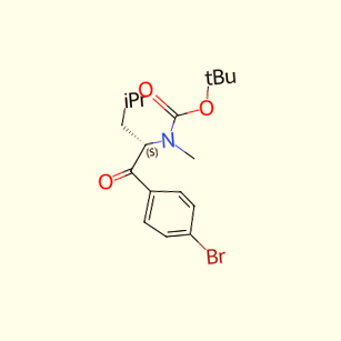 CC(C)C[C@@H](C(=O)c1ccc(Br)cc1)N(C)C(=O)OC(C)(C)C